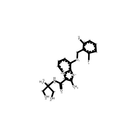 Cc1nc2c(OCc3c(F)cccc3F)cccn2c1C(=O)NC(C)(CO)CO